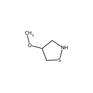 COC1[CH]SNC1